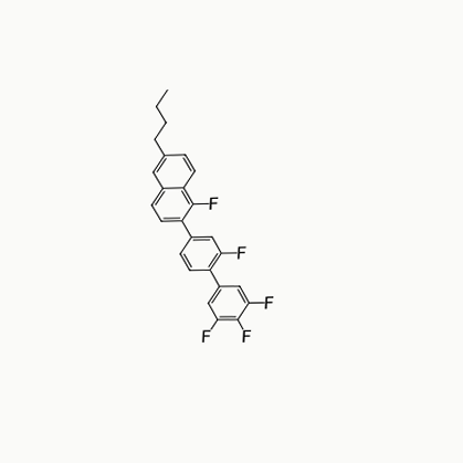 CCCCc1ccc2c(F)c(-c3ccc(-c4cc(F)c(F)c(F)c4)c(F)c3)ccc2c1